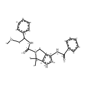 COCC(NC(=O)N1Cc2c(NC(=O)c3ccccc3)n[nH]c2C1(C)C)c1ccccc1